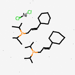 CC(C)P(CC=CC1CCCCC1)C(C)C.CC(C)P(CC=CC1CCCCC1)C(C)C.[Cl][Ni][Cl]